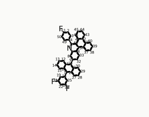 Fc1ccc(-c2nc3cc(-c4c5ccccc5c(-c5cc(F)cc(F)c5)c5ccccc45)ccc3c3c4ccccc4c4ccccc4c23)cc1